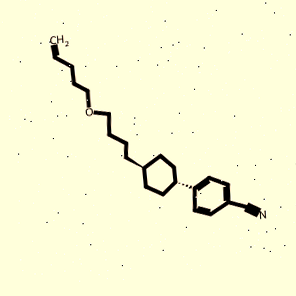 C=CCCCOCCCC[C@H]1CC[C@H](c2ccc(C#N)cc2)CC1